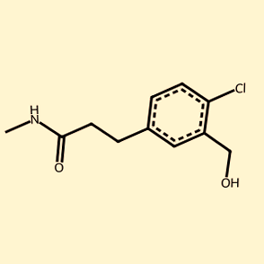 CNC(=O)CCc1ccc(Cl)c(CO)c1